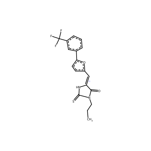 CCCN1C(=O)/C(=C/c2ccc(-c3cccc(C(F)(F)F)c3)o2)NC1=S